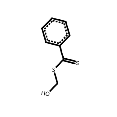 OCSC(=S)c1ccccc1